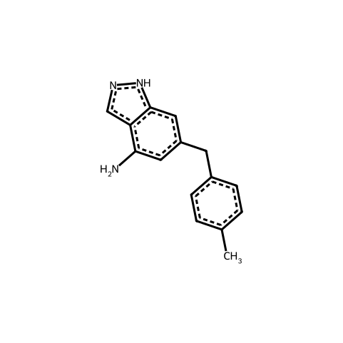 Cc1ccc(Cc2cc(N)c3cn[nH]c3c2)cc1